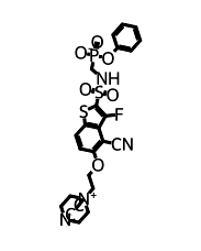 N#Cc1c(OCC[N+]23CCN(CC2)CC3)ccc2sc(S(=O)(=O)NCP(=O)([O-])Oc3ccccc3)c(F)c12